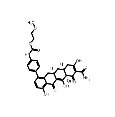 COCCOC(=O)Nc1ccc(-c2ccc(O)c3c2C[C@H]2C[C@H]4CC(O)=C(C(N)=O)C(=O)[C@@]4(O)C(O)=C2C3=O)cc1